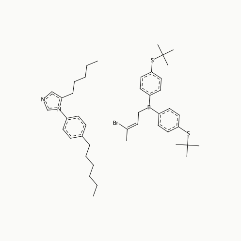 CC(Br)=CCB(c1ccc(SC(C)(C)C)cc1)c1ccc(SC(C)(C)C)cc1.CCCCCCc1ccc(-n2cncc2CCCCC)cc1